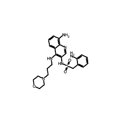 Nc1ccccc1CS(=O)(=O)Nc1cnc2c(N)cccc2c1NCCCN1CCOCC1